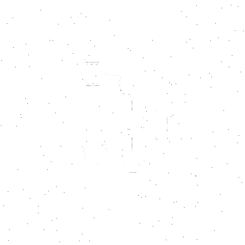 Cc1nc(C(=O)N2CCCCC2CNc2nc3ccccc3o2)c(-c2ccccc2)s1